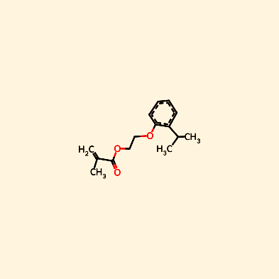 C=C(C)C(=O)OCCOc1ccccc1C(C)C